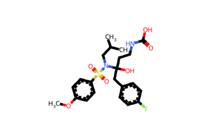 COc1ccc(S(=O)(=O)N(CC(C)C)C(O)(CCNC(=O)O)Cc2ccc(F)cc2)cc1